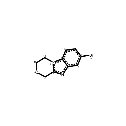 Brc1ccc2c(c1)nc1n2CCOC1